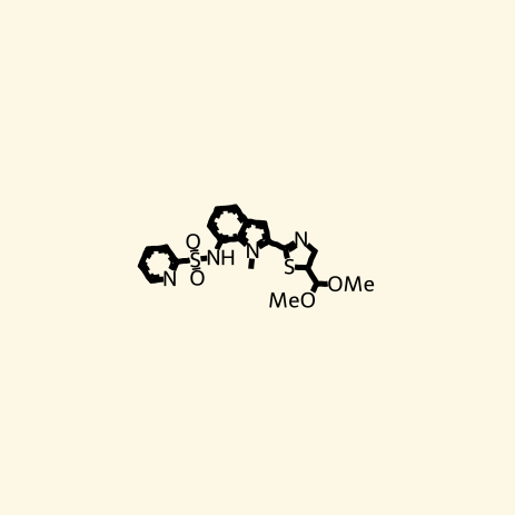 COC(OC)C1CN=C(c2cc3cccc(NS(=O)(=O)c4ccccn4)c3n2C)S1